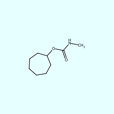 CNC(=O)OC1CCCCCC1